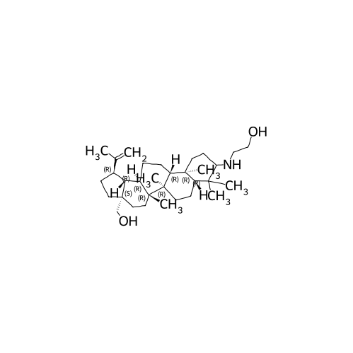 C=C(C)[C@@H]1CC[C@]2(CO)CC[C@]3(C)[C@H](CC[C@@H]4[C@@]5(C)CCC(NCCO)C(C)(C)[C@@H]5CC[C@]43C)[C@@H]12